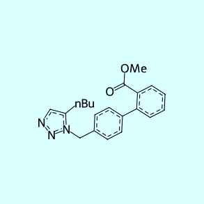 CCCCc1cnnn1Cc1ccc(-c2ccccc2C(=O)OC)cc1